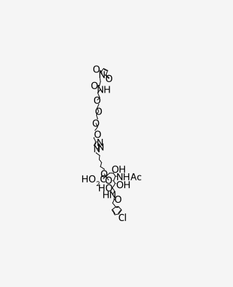 CC(=O)N[C@H]1[C@H]([C@H](O)[C@H](O)CNC(=O)Cc2ccc(Cl)cc2)O[C@@](OCCCCCCn2cc(COCCOCCOCCOCCNC(=O)CCN3C(=O)C=CC3=O)nn2)(C(=O)O)C[C@@H]1O